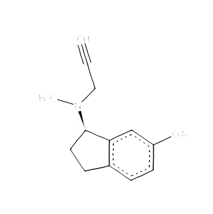 C#CCN(C)[C@@H]1CCc2ccc(OC(C)=O)cc21